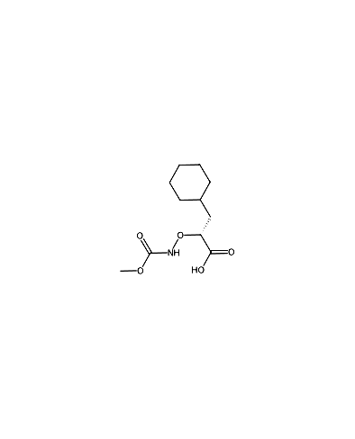 COC(=O)NO[C@H](CC1CCCCC1)C(=O)O